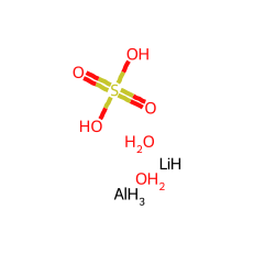 O.O.O=S(=O)(O)O.[AlH3].[LiH]